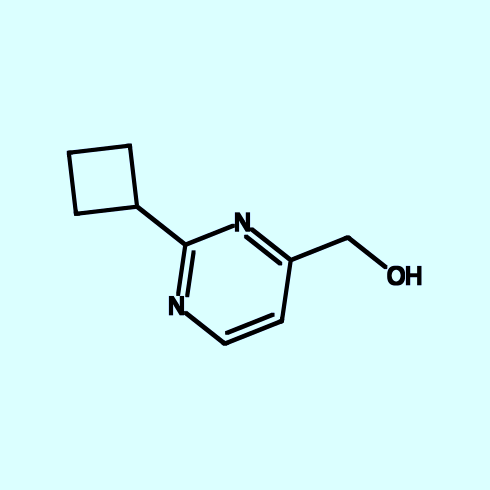 OCc1ccnc(C2CCC2)n1